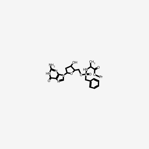 CC(C)OC(=O)C(C)NP(=O)(Cc1ccccc1)OCC1OC(n2cnc3c(=O)[nH]c(N)nc32)CC1O